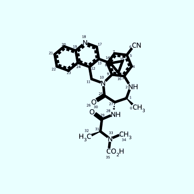 C[C@@H]1Nc2cc(C#N)ccc2N(Cc2c(C3CC3)cnc3ccccc23)C(=O)[C@H]1NC(=O)[C@H](C)N(C)C(=O)O